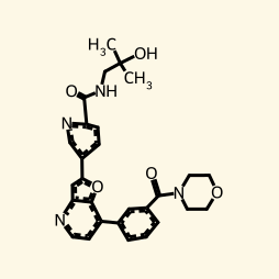 CC(C)(O)CNC(=O)c1ccc(-c2cc3nccc(-c4cccc(C(=O)N5CCOCC5)c4)c3o2)cn1